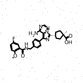 COc1ccc(F)cc1C(=O)NCc1ccc(-c2nc([C@H]3CC[C@](C)(C(=O)O)CC3)n3ncnc(N)c23)cc1